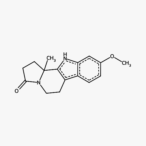 COc1ccc2c3c([nH]c2c1)C1(C)CCC(=O)N1CC3